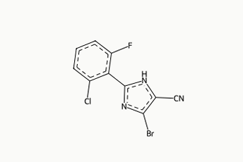 N#Cc1[nH]c(-c2c(F)cccc2Cl)nc1Br